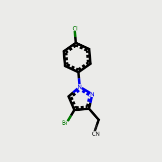 N#CCc1nn(-c2ccc(Cl)cc2)cc1Br